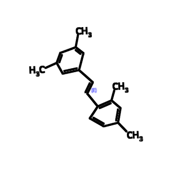 Cc1cc(C)cc(/C=C/c2ccc(C)cc2C)c1